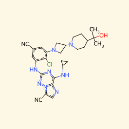 CC(C)(O)C1CCN(C2CN(c3cc(C#N)cc(Nc4nc(NC5CC5)c5ncc(C#N)n5n4)c3Cl)C2)CC1